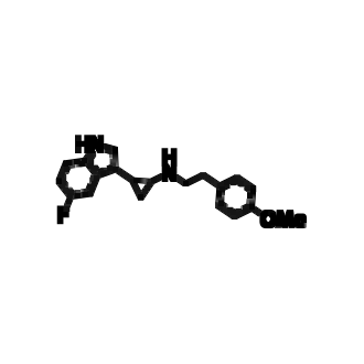 COc1ccc(CCNC2CC2c2c[nH]c3ccc(F)cc23)cc1